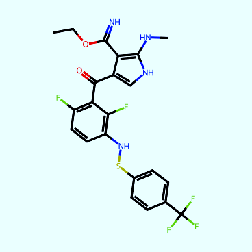 CCOC(=N)c1c(C(=O)c2c(F)ccc(NSc3ccc(C(F)(F)F)cc3)c2F)c[nH]c1NC